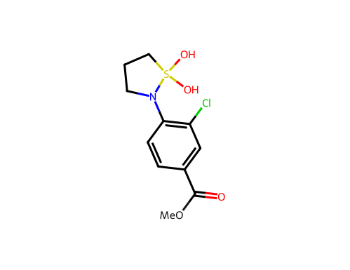 COC(=O)c1ccc(N2CCCS2(O)O)c(Cl)c1